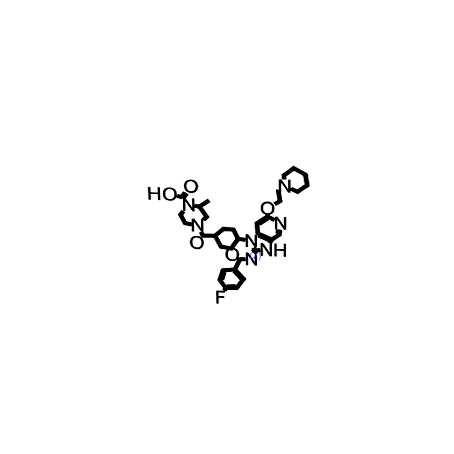 CC1CN(C(=O)C2CCC(n3/c(=N\C(=O)c4ccc(F)cc4)[nH]c4cnc(OCCN5CCCCC5)cc43)CC2)CCN1C(=O)O